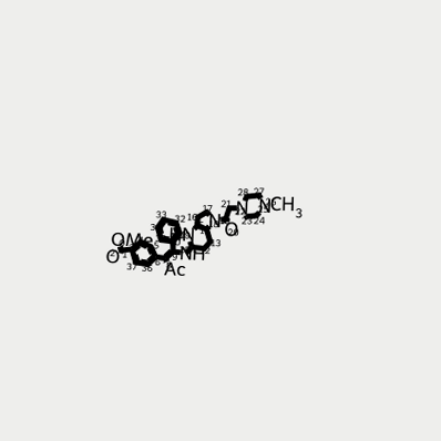 COC(=O)c1ccc(/C(C(C)=O)=C(/NC2CCC3C(CCN3C(=O)CN3CCN(C)CC3)N2)c2ccccc2)cc1